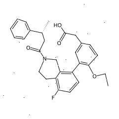 CCOc1ccc(CC(=O)O)cc1-c1ccc(F)c2c1CN(C(=O)C[C@@H](C)c1ccccc1)CC2